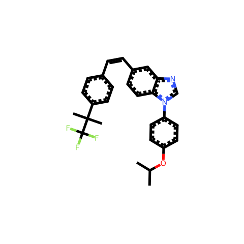 CC(C)Oc1ccc(-n2cnc3cc(/C=C\c4ccc(C(C)(C)C(F)(F)F)cc4)ccc32)cc1